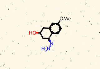 COc1ccc2c(c1)CC(O)CC2=NN